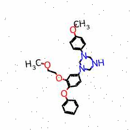 COCCOc1cc(N2CNCN(c3ccc(OC)cc3)C2)ccc1Oc1ccccc1